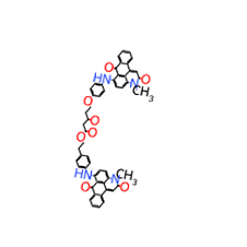 Cn1c(=O)cc2c3c(c(Nc4ccc(CCOC(=O)CC(=O)CCOc5ccc(Nc6ccc7c8c(cc(=O)n7C)-c7ccccc7C(=O)c68)cc5)cc4)ccc31)C(=O)c1ccccc1-2